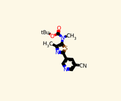 Cc1nc(-c2cncc(C#N)c2)sc1N(C)C(=O)OC(C)(C)C